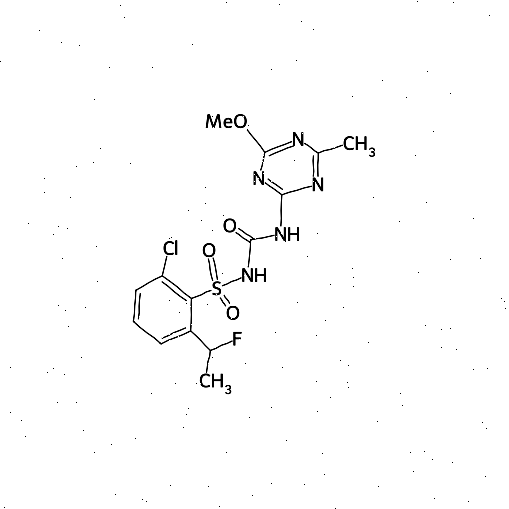 COc1nc(C)nc(NC(=O)NS(=O)(=O)c2c(Cl)cccc2C(C)F)n1